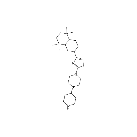 CC1(C)CCC(C)(C)C2CC(c3csc(N4CCN(C5CCNCC5)CC4)n3)CCC21